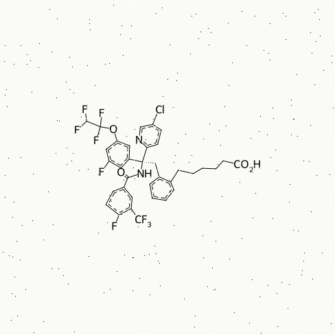 O=C(O)CCCCCc1ccccc1C[C@](NC(=O)c1ccc(F)c(C(F)(F)F)c1)(c1cc(F)cc(OC(F)(F)C(F)F)c1)c1ccc(Cl)cn1